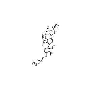 C=CCCc1ccc(-c2ccc3c(c2F)C(F)(F)C(F)(F)c2c-3ccc(CCC)c2F)c(F)c1F